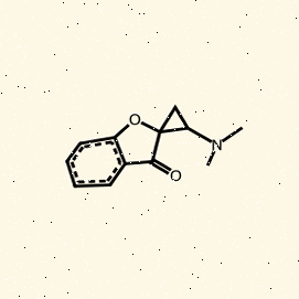 CN(C)C1CC12Oc1ccccc1C2=O